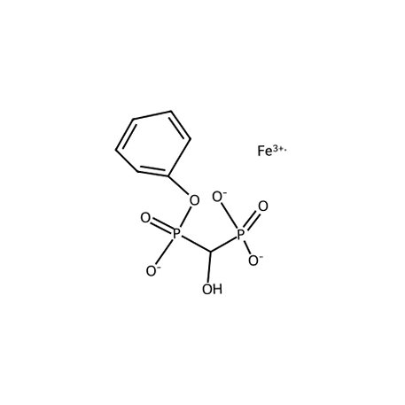 O=P([O-])([O-])C(O)P(=O)([O-])Oc1ccccc1.[Fe+3]